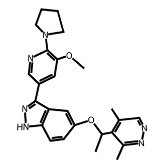 COc1cc(-c2n[nH]c3ccc(OC(C)c4c(C)cnnc4C)cc23)cnc1N1CCCC1